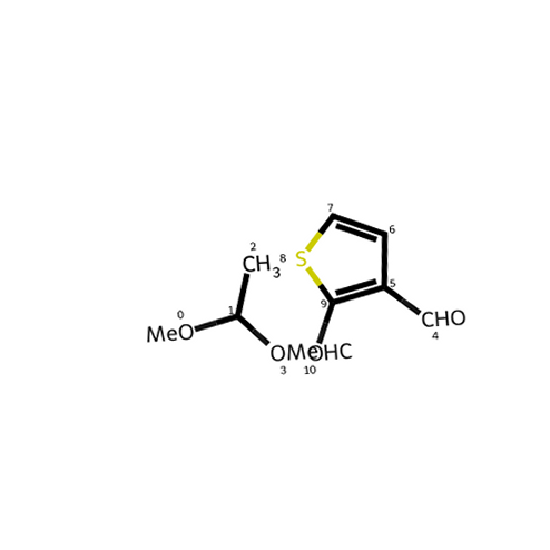 COC(C)OC.O=Cc1ccsc1C=O